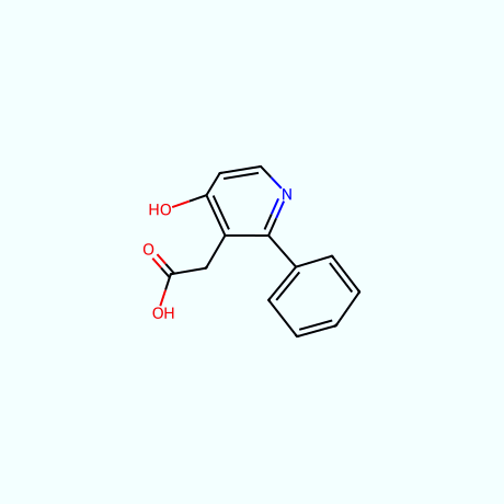 O=C(O)Cc1c(O)ccnc1-c1ccccc1